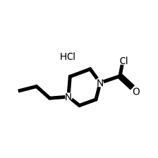 CCCN1CCN(C(=O)Cl)CC1.Cl